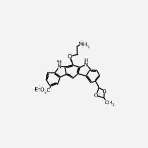 CCOC(=O)c1ccc2[nH]c3c(OCCN)c4[nH]c5ccc(C6OC(C)O6)cc5c4cc3c2c1